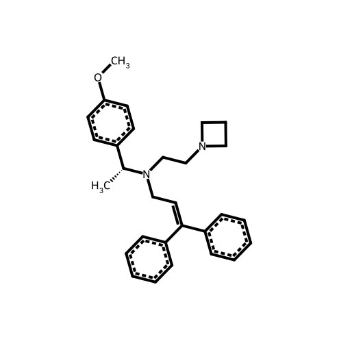 COc1ccc([C@@H](C)N(CC=C(c2ccccc2)c2ccccc2)CCN2CCC2)cc1